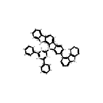 C1=Cc2oc3cccc(-c4ccc5c6ccc7c8ccccc8sc7c6n(-c6nc(-c7ccccc7)nc(-c7ccccc7)n6)c5c4)c3c2CC1